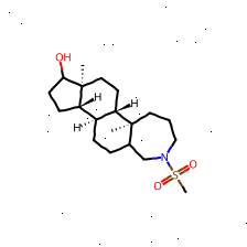 C[C@]12CCCN(S(C)(=O)=O)CC1CC[C@@H]1[C@@H]2CC[C@]2(C)C(O)CC[C@@H]12